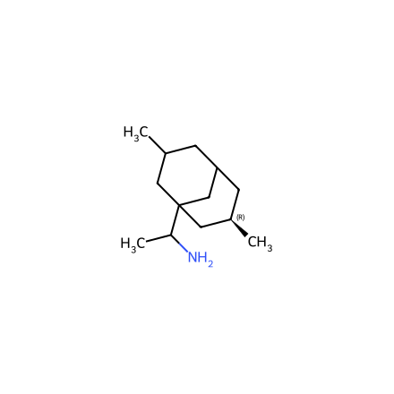 CC1CC2C[C@@H](C)CC(C(C)N)(C1)C2